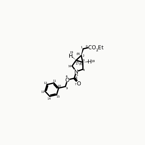 CCOC(=O)C[C@H]1[C@H]2CN(C(=O)OCc3ccccc3)C[C@@H]12